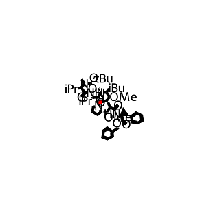 CCC(C)C(C(CC(=O)N1CCC[C@H]1C(OC)C(C)C(=O)N[C@@]1(C(=O)OCc2ccccc2)C[C@@H]1c1ccccc1)OC)N(C)C(=O)C(NC(=O)C(C(C)C)N(C)C(=O)OC(C)(C)C)C(C)C